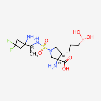 C[C@H](NS(=O)(=O)N1C[C@H](CCCB(O)O)[C@](N)(C(=O)O)C1)C1(N)CC(F)(F)C1